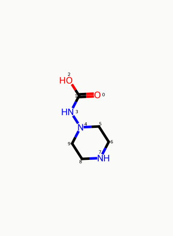 O=C(O)NN1CCNCC1